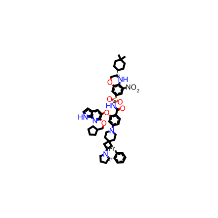 CC(C)c1ccccc1[C@@H]1CCCN1C1CC2(CCN(c3ccc(C(=O)NS(=O)(=O)c4cc5c(c([N+](=O)[O-])c4)N[C@@H](C4CCC(C)(C)CC4)CO5)c(Oc4cc5cc[nH]c5nc4OCC4CCCC4)c3)CC2)C1